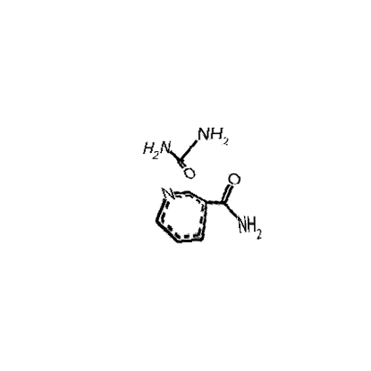 NC(=O)c1cccnc1.NC(N)=O